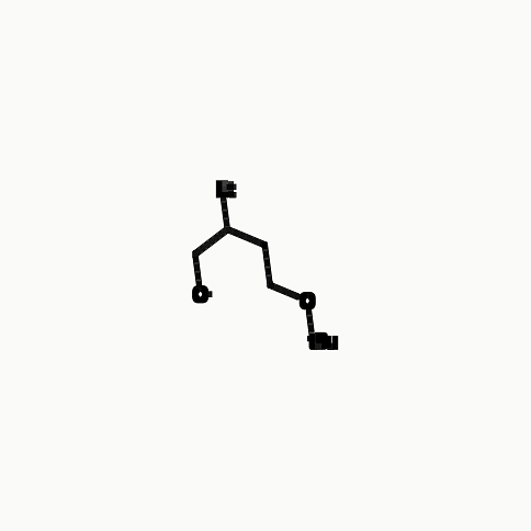 CCC(C[O])CCOC(C)(C)C